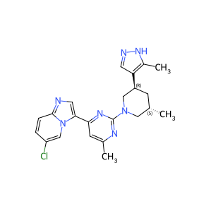 Cc1cc(-c2cnc3ccc(Cl)cn23)nc(N2C[C@@H](C)C[C@H](c3cn[nH]c3C)C2)n1